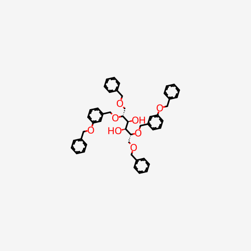 O[C@@H]([C@H](O)[C@@H](COCc1ccccc1)OCc1cccc(OCc2ccccc2)c1)[C@@H](COCc1ccccc1)OCc1cccc(OCc2ccccc2)c1